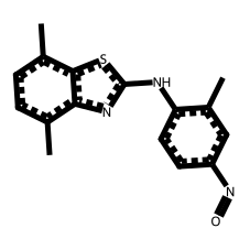 Cc1cc(N=O)ccc1Nc1nc2c(C)ccc(C)c2s1